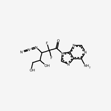 [N-]=[N+]=NC(C(O)CO)C(F)(F)C(=O)n1cnc2c(N)ncnc21